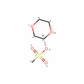 CS(=O)(=O)O[C@@H]1COCCO1